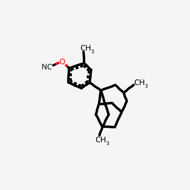 Cc1cc(C23CC(C)CC4CC2CC(C)(C4)C3)ccc1OC#N